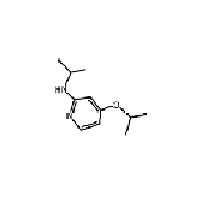 CC(C)Nc1cc(OC(C)C)ccn1